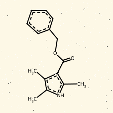 Cc1[nH]c(C)c(C(=O)OCc2ccccc2)c1C